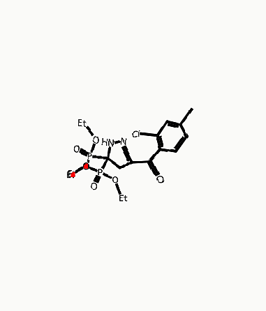 CCOP(=O)(OCC)C1(P(=O)(OCC)OCC)CC(C(=O)c2ccc(C)cc2Cl)=NN1